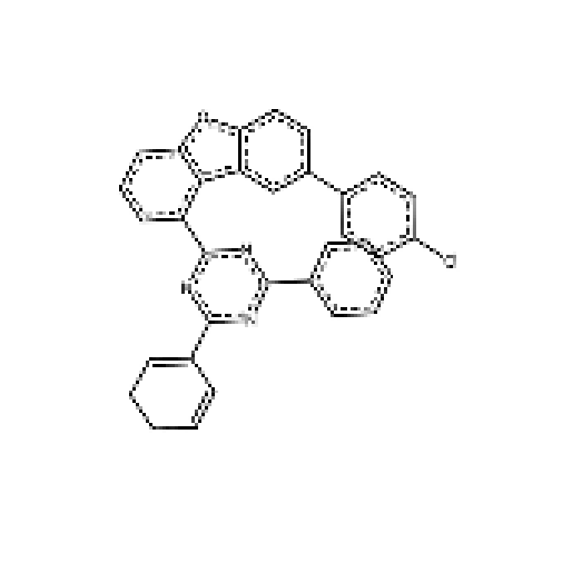 Clc1ccc(-c2ccc3oc4cccc(-c5nc(C6=CCCC=C6)nc(-c6ccccc6)n5)c4c3c2)cc1